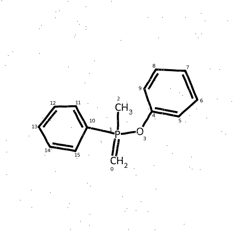 C=P(C)(Oc1ccccc1)c1ccccc1